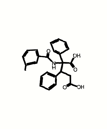 Cc1cccc(C(=O)NC(C(=O)O)(c2ccccc2)C(CC(=O)O)c2ccccc2)c1